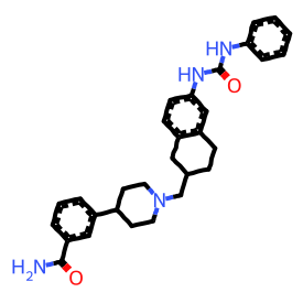 NC(=O)c1cccc(C2CCN(CC3CCc4cc(NC(=O)Nc5ccccc5)ccc4C3)CC2)c1